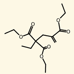 C=C(CC(CC)(C(=O)OCC)C(=O)OCC)C(=O)OCC